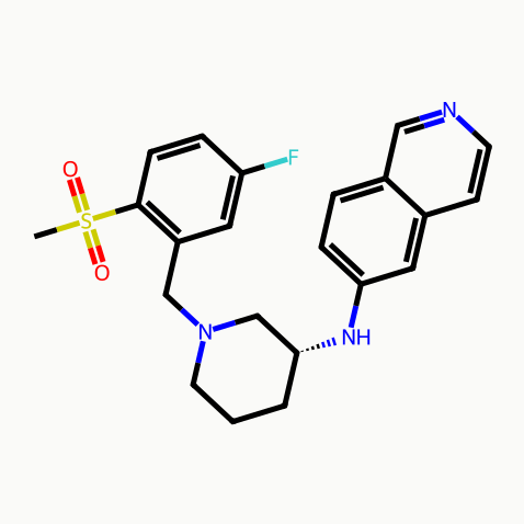 CS(=O)(=O)c1ccc(F)cc1CN1CCC[C@@H](Nc2ccc3cnccc3c2)C1